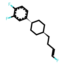 FC=CCC[C@H]1CC[C@H](c2ccc(F)c(F)c2)CC1